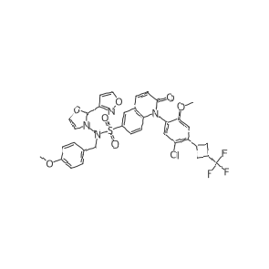 COc1ccc(CN(N2C=COC2c2ccon2)S(=O)(=O)c2ccc3c(ccc(=O)n3-c3cc(Cl)c(C4CC(C(F)(F)F)C4)cc3OC)c2)cc1